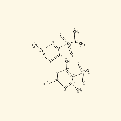 CN(C)S(=O)(=O)c1ccc[n+](N)c1.Cc1cc(C)c(S(=O)(=O)[O-])c(C)c1